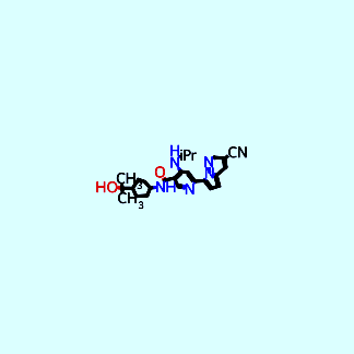 CC(C)Nc1cc(-c2ccc3cc(C#N)cnn23)ncc1C(=O)NC1CCC(C(C)(C)O)CC1